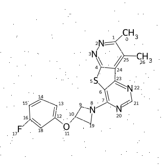 Cc1nnc2sc3c(N4CC(Oc5cccc(F)c5)C4)ncnc3c2c1C